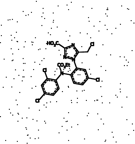 CCOC(=O)N(c1ccc(Cl)cc1Cl)c1ccc(Cl)cc1-n1nc(C(=O)O)nc1CCl